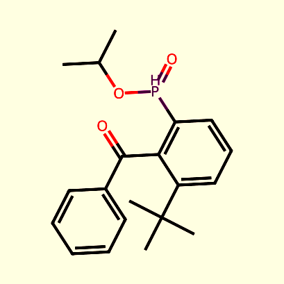 CC(C)O[PH](=O)c1cccc(C(C)(C)C)c1C(=O)c1ccccc1